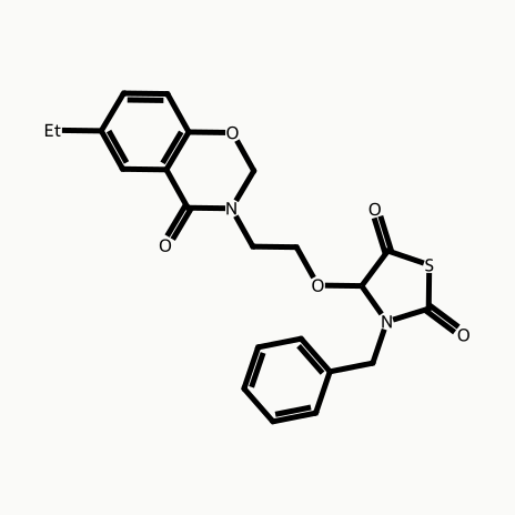 CCc1ccc2c(c1)C(=O)N(CCOC1C(=O)SC(=O)N1Cc1ccccc1)CO2